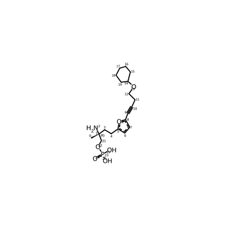 C[C@@](N)(CCc1ccc(C#CCCOC2CCCCC2)o1)COP(=O)(O)O